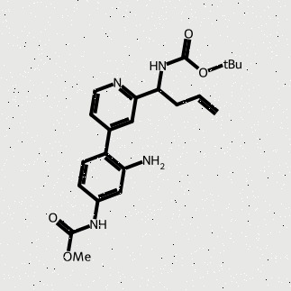 C=CCC(NC(=O)OC(C)(C)C)c1cc(-c2ccc(NC(=O)OC)cc2N)ccn1